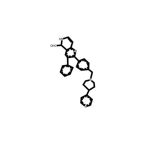 O=CC1NC=Cc2nc(-c3ccc(CN4CCC(c5ccncc5)CC4)cc3)c(-c3ccccc3)cc21